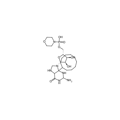 NC1NC(=O)C2NCN([C@@H]3O[C@H](COP(=O)(O)N4CCOCC4)[C@@H](O)[C@H]3O)C2(C2CCCCCCCCC2)N1